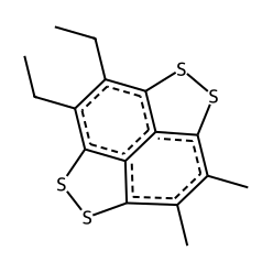 CCc1c(CC)c2c3c(c(C)c(C)c4c3c1SS4)SS2